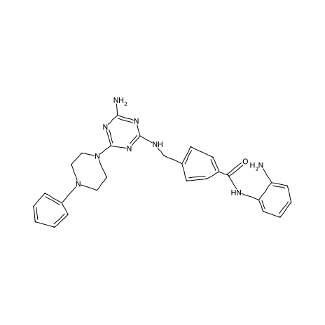 Nc1nc(NCc2ccc(C(=O)Nc3ccccc3N)cc2)nc(N2CCN(c3ccccc3)CC2)n1